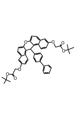 CC(C)(C)OC(=O)COc1ccc2c3c(ccc2c1)Oc1ccc2cc(OCC(=O)OC(C)(C)C)ccc2c1C3c1ccc(-c2ccccc2)cc1